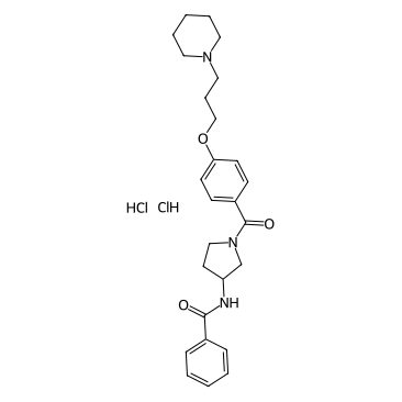 Cl.Cl.O=C(NC1CCN(C(=O)c2ccc(OCCCN3CCCCC3)cc2)C1)c1ccccc1